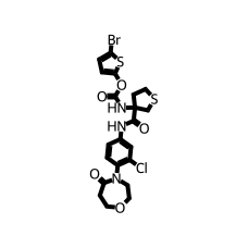 O=C(NC1(C(=O)Nc2ccc(N3CCOCCC3=O)c(Cl)c2)CCSC1)Oc1ccc(Br)s1